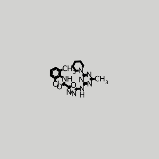 Cc1nc(Nc2nnc(C(=O)Nc3c(C)cccc3Cl)o2)nc(N2CCCCC2)n1